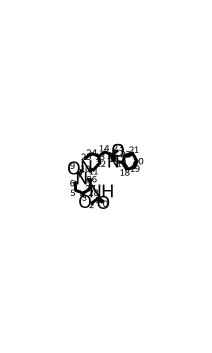 O=C1COC2CCN(C(=O)N3CCC(Cc4nc5ccccc5o4)CC3)CC2N1